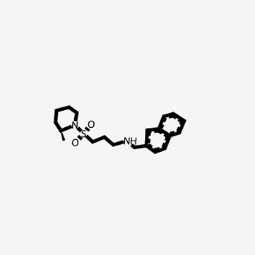 C[C@H]1CCCCN1S(=O)(=O)CCCNCc1ccc2ccccc2c1